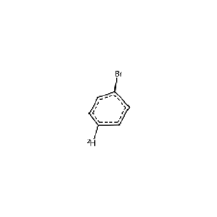 [2H]c1ccc(Br)cc1